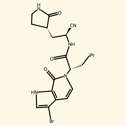 CC(C)C[C@@H](C(=O)N[C@H](C#N)C[C@@H]1CCNC1=O)n1ccc2c(Br)c[nH]c2c1=O